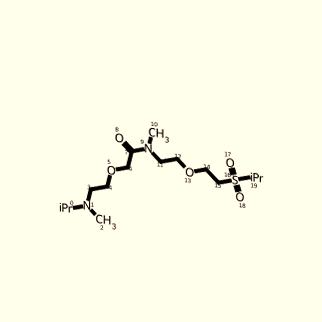 CC(C)N(C)CCOCC(=O)N(C)CCOCCS(=O)(=O)C(C)C